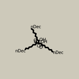 CCCCCCCCCCCCCCCCC(=O)C(O)C(O)(C(=O)CCCCCCCCCCCCCCCC)C(O)C(=O)CCCCCCCCCCCCCCCC